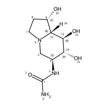 NC(=O)N[C@H]1CN2CC[C@H](O)[C@@H]2[C@@H](O)[C@@H]1O